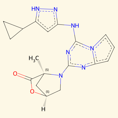 C[C@@]12C[C@@H](CN1c1nc(Nc3cc(C4CC4)[nH]n3)n3cccc3n1)OC2=O